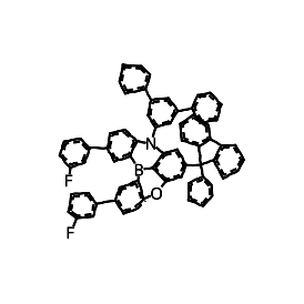 Fc1cccc(-c2ccc3c(c2)B2c4cc(-c5cccc(F)c5)ccc4N(c4cc(-c5ccccc5)cc(-c5ccccc5)c4)c4cc(C5(c6ccccc6)c6ccccc6-c6ccccc65)cc(c42)O3)c1